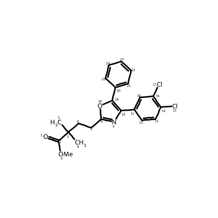 COC(=O)C(C)(C)CCc1nc(-c2ccc(Cl)c(Cl)c2)c(-c2ccccc2)o1